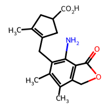 CC1=C(Cc2c(C)c(C)c3c(c2N)C(=O)OC3)CC(C(=O)O)C1